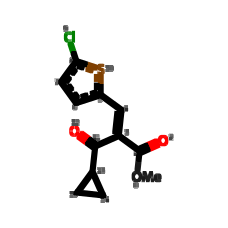 COC(=O)C(=Cc1ccc(Cl)s1)C(=O)C1CC1